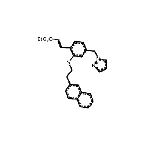 CCOC(=O)/C=C/c1ccc(Cn2cccn2)cc1SCCc1ccc2ccccc2c1